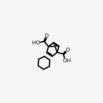 C1CCCCC1.O=C(O)C12C=CC(C(=O)O)(C=C1)C2